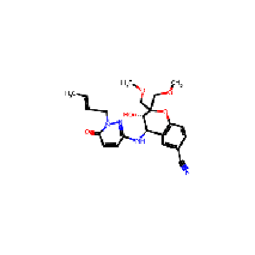 C/C=C/Cn1nc(N[C@@H]2c3cc(C#N)ccc3OC(COC)(COC)[C@H]2O)ccc1=O